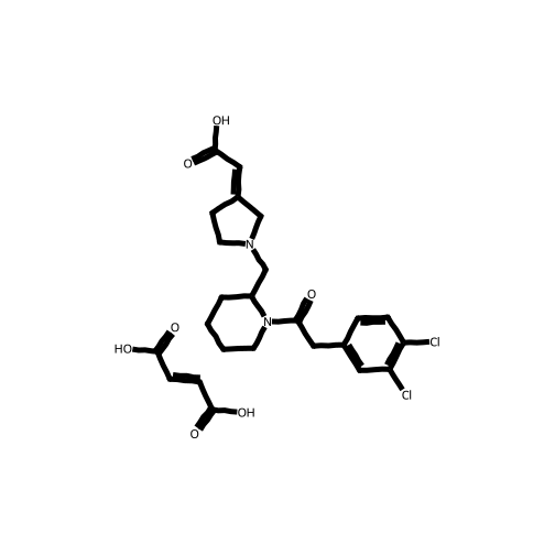 O=C(O)C=C1CCN(CC2CCCCN2C(=O)Cc2ccc(Cl)c(Cl)c2)C1.O=C(O)C=CC(=O)O